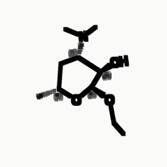 CCO[C@H]1O[C@H](C)C[C@H](N(C)C)[C@H]1O